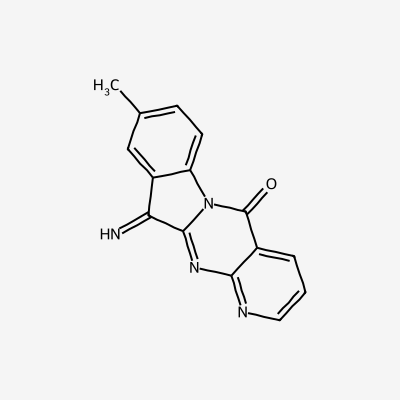 Cc1ccc2c(c1)C(=N)c1nc3ncccc3c(=O)n1-2